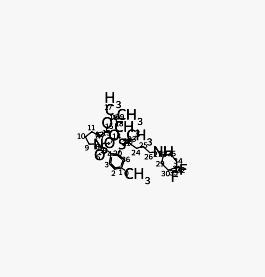 Cc1ccc(S(=O)(=O)N2CCC[C@H]2C(=O)OC(C)(C)C)c(S[C@H](C)CCCNC2CCC(F)(F)CC2)c1